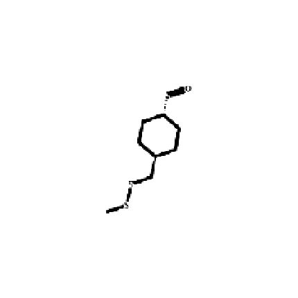 CSSC[C@H]1CC[C@H](C=O)CC1